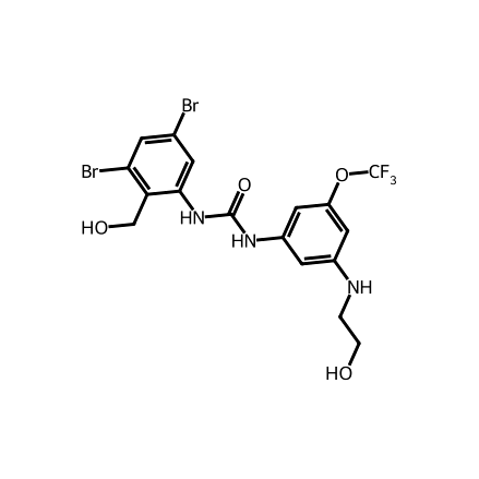 O=C(Nc1cc(NCCO)cc(OC(F)(F)F)c1)Nc1cc(Br)cc(Br)c1CO